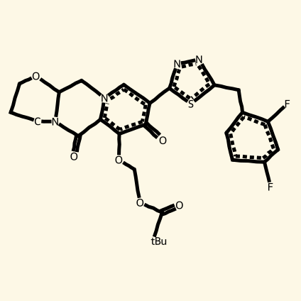 CC(C)(C)C(=O)OCOc1c2n(cc(-c3nnc(Cc4ccc(F)cc4F)s3)c1=O)CC1OCCCN1C2=O